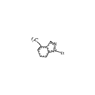 CCn1ncc2c(C(F)(F)F)cccc21